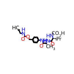 C#CCNC(=O)OCc1ccc(NC(=O)[C@H](C)NC(=O)[C@@H](NC(=O)O)C(C)C)cc1